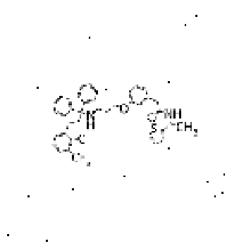 CC(NC(=O)Cc1cccc(OCCCNC(CCc2cccc(C(F)(F)F)c2Cl)(c2ccccc2)c2ccccc2)c1)c1cccs1